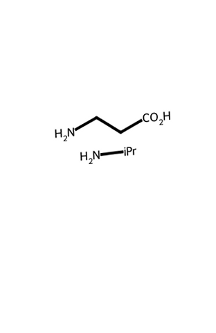 CC(C)N.NCCC(=O)O